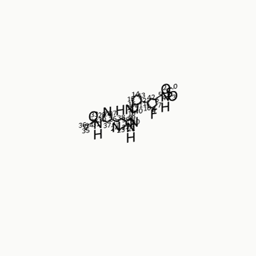 CS(=O)(=O)NCc1cc(F)cc(-c2cccc3[nH]c(-c4n[nH]c5cnc(-c6cncc(NC(=O)C7CC7)c6)cc45)cc23)c1